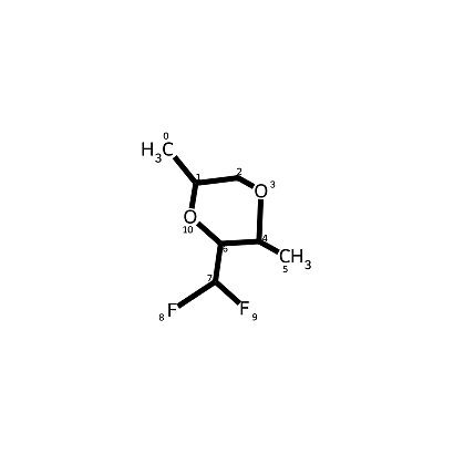 CC1COC(C)C(C(F)F)O1